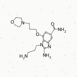 NCCCn1c(N)nc2cc(C(N)=O)cc(OCCCN3CCOCC3)c21